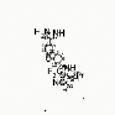 CC(C)CC(NC(c1ccc2c(c1)oc1ccc(/C(C=N)=C/N)cc12)C(F)(F)F)C(=O)NC1(C#N)CC1